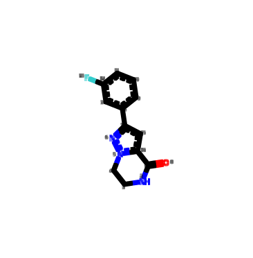 O=C1NCCn2nc(-c3cccc(F)c3)cc21